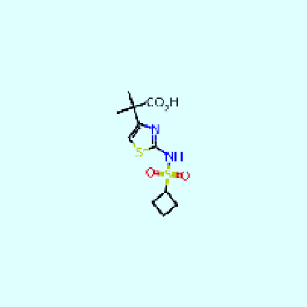 CC(C)(C(=O)O)c1csc(NS(=O)(=O)C2CCC2)n1